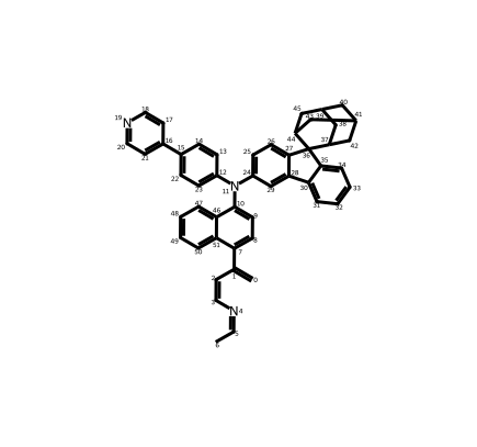 C=C(/C=C\N=C/C)c1ccc(N(c2ccc(-c3ccncc3)cc2)c2ccc3c(c2)-c2ccccc2C32C3CC4CC(C3)CC2C4)c2ccccc12